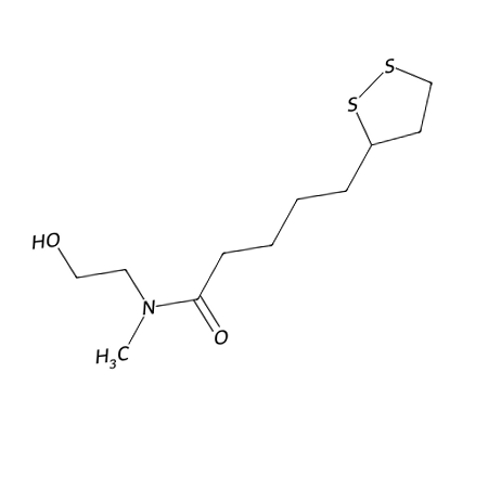 CN(CCO)C(=O)CCCCC1CCSS1